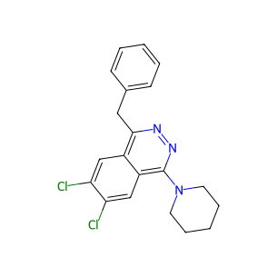 Clc1cc2c(Cc3ccccc3)nnc(N3CCCCC3)c2cc1Cl